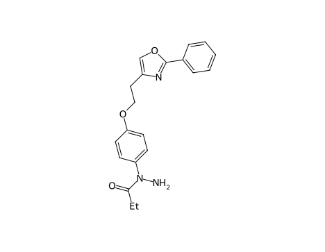 CCC(=O)N(N)c1ccc(OCCc2coc(-c3ccccc3)n2)cc1